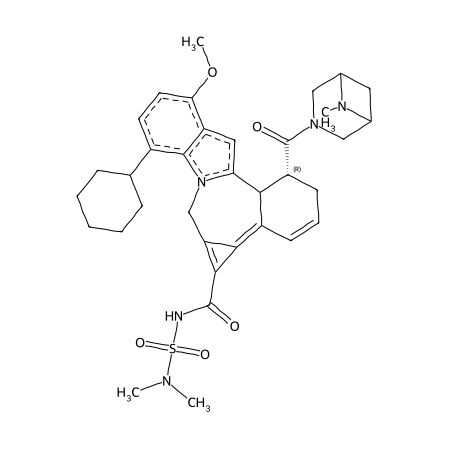 COc1ccc(C2CCCCC2)c2c1cc1n2CC2=C(C(=O)NS(=O)(=O)N(C)C)C2=C2C=CC[C@@H](C(=O)N3CC4CC(C3)N4C)C21